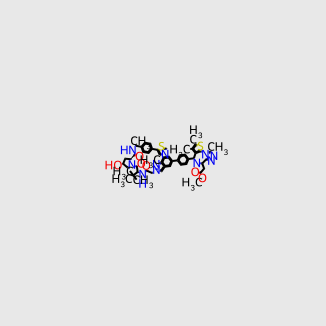 COC(=O)CC1N=C(c2ccc(-c3ccc4nn(CC(=O)N[C@H](C(=O)N5C[C@H](O)C[C@H]5C(=O)N[C@@H](C)c5ccc(-c6scnc6C)cc5)C(C)(C)C)cc4c3)cc2)c2c(sc(C)c2C)-n2c(C)nnc21